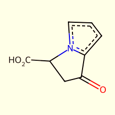 O=C1CC(C(=O)O)n2cccc21